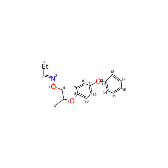 CCC=NOCC(C)Oc1ccc(Oc2ccccc2)cc1